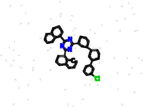 Clc1cccc(-c2cccc(-c3cccc(-c4nc(-c5cccc6ccccc56)nc(-c5cccc6ccccc56)n4)c3)c2)c1